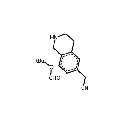 CC(C)(C)OC=O.N#CCc1ccc2c(c1)CCNC2